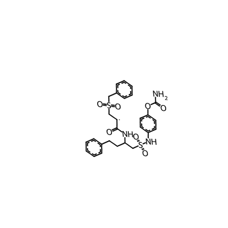 NC(=O)Oc1ccc(NS(=O)(=O)CC(CCc2ccccc2)NC(=O)[CH]CS(=O)(=O)Cc2ccccc2)cc1